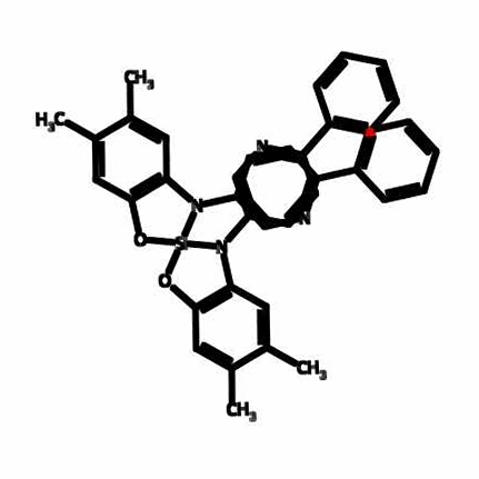 Cc1cc2c(cc1C)N(c1ccc(-c3ccccc3)nc1)[Si]1(O2)Oc2cc(C)c(C)cc2N1c1ccc(-c2ccccc2)nc1